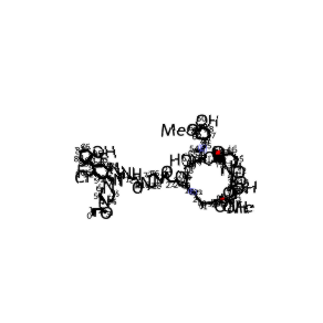 C=CC(=O)N1CCN(c2nc(NCCC(=O)N3CCN(C(=O)CCC[C@@H]4/C=C(\C)C[C@H](C)C[C@H](OC)[C@H]5O[C@@](O)(C(=O)C(=O)N6CCCC[C@H]6C(=O)O[C@H](/C(C)=C/[C@@H]6CC[C@@H](O)[C@H](OC)C6)[C@H](C)[C@@H](O)CC4=O)[C@H](C)C[C@@H]5O)CC3)nc3c(F)c(-c4c(O)cccc4F)c(Cl)cc23)CC1